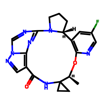 C[C@@H]1Oc2ncc(F)cc2[C@H]2CCCN2c2ncn3ncc(c3n2)C(=O)NC12CC2